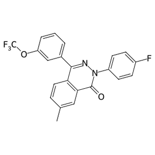 Cc1ccc2c(-c3cccc(OC(F)(F)F)c3)nn(-c3ccc(F)cc3)c(=O)c2c1